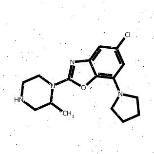 CC1CNCCN1c1nc2cc(Cl)cc(N3CCCC3)c2o1